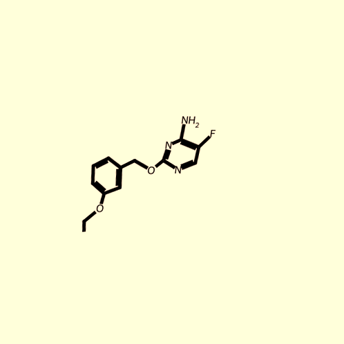 CCOc1cccc(COc2ncc(F)c(N)n2)c1